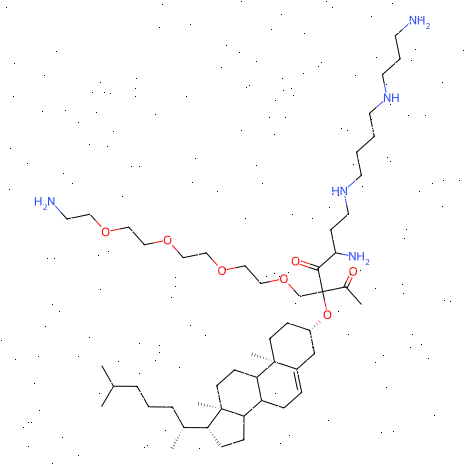 CC(=O)C(COCCOCCOCCOCCN)(O[C@H]1CC[C@@]2(C)C(=CCC3C2CC[C@@]2(C)C3CC[C@@H]2[C@H](C)CCCC(C)C)C1)C(=O)C(N)CCNCCCCNCCCN